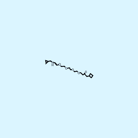 O=C(CCOCCOCCOCCOCCNCC1CC1)CC1CCC1